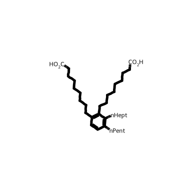 CCCCCCCc1c(CCCCC)ccc(CCCCCCCCC(=O)O)c1CCCCCCCCC(=O)O